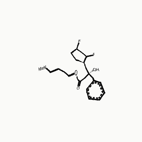 CNCCCOC(=O)[C@](O)(c1ccccc1)[C@H]1CCC(F)C1F